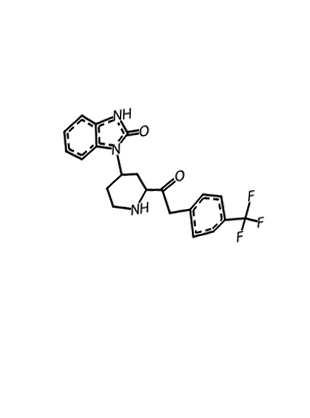 O=C(Cc1ccc(C(F)(F)F)cc1)C1CC(n2c(=O)[nH]c3ccccc32)CCN1